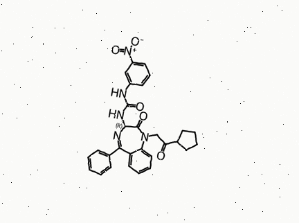 O=C(Nc1cccc([N+](=O)[O-])c1)N[C@@H]1N=C(c2ccccc2)c2ccccc2N(CC(=O)C2CCCC2)C1=O